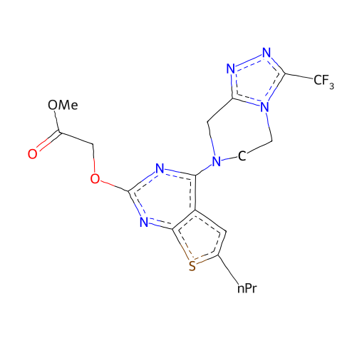 CCCc1cc2c(N3CCn4c(nnc4C(F)(F)F)C3)nc(OCC(=O)OC)nc2s1